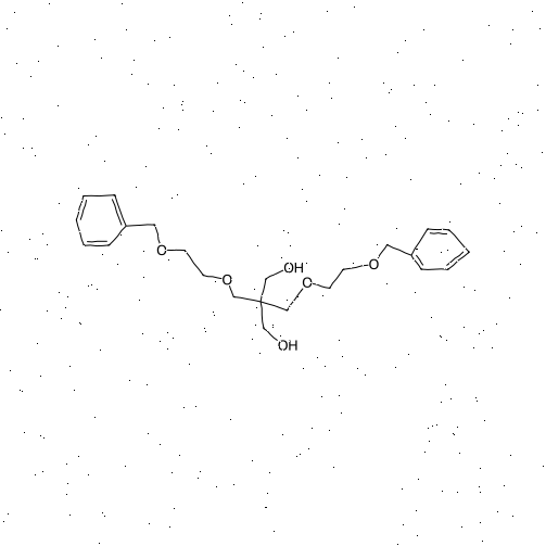 OCC(CO)(COCCOCc1ccccc1)COCCOCc1ccccc1